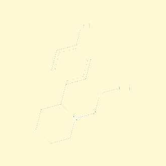 CC(C)(C)OC(=O)N1CCCCC1c1ccc(O)cc1